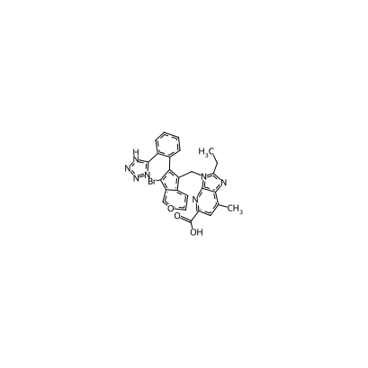 CCc1nc2c(C)cc(C(=O)O)nc2n1Cc1c2ccocc-2c(Br)c1-c1ccccc1-c1nnn[nH]1